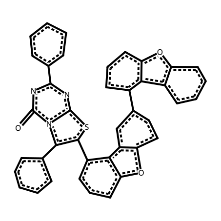 O=c1nc(-c2ccccc2)nc2sc(-c3cccc4oc5ccc(-c6cccc7oc8ccccc8c67)cc5c34)c(-c3ccccc3)n12